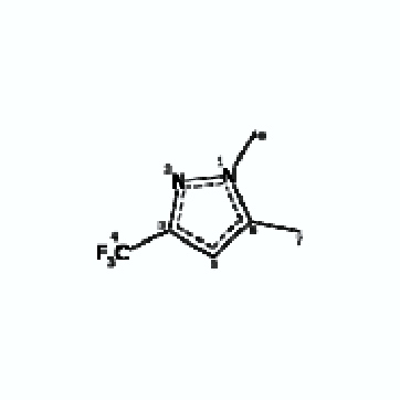 [CH2]n1nc(C(F)(F)F)cc1C